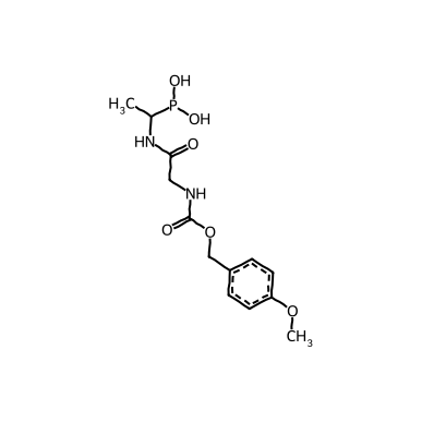 COc1ccc(COC(=O)NCC(=O)NC(C)P(O)O)cc1